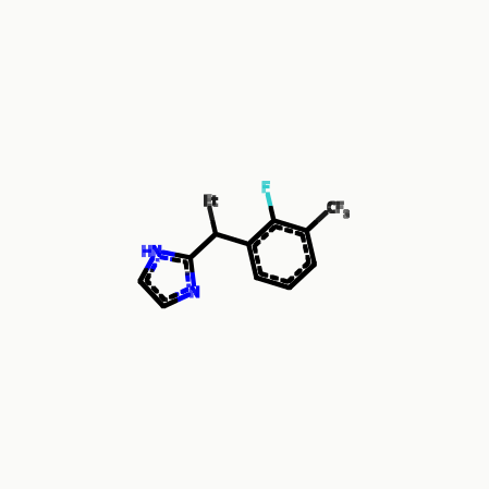 CCC(c1ncc[nH]1)c1cccc(C(F)(F)F)c1F